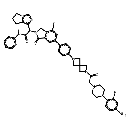 Nc1ccc(C2CCN(CC(=O)N3CC4(C3)CN(c3ccc(-c5cc(F)c6c(c5)C(=O)N(C(C(=O)Nc5ccccn5)c5ncn7c5CCC7)C6)cc3)C4)CC2)c(F)c1